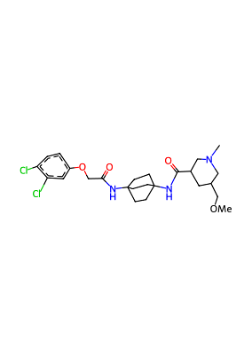 COCC1CC(C(=O)NC23CCC(NC(=O)COc4ccc(Cl)c(Cl)c4)(CC2)CC3)CN(C)C1